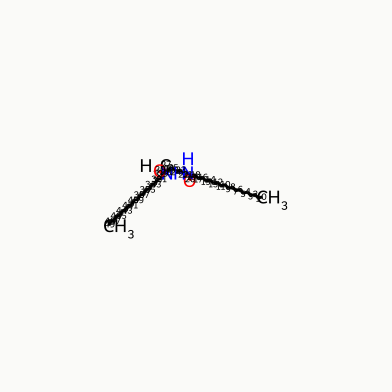 CCCCCCCCCCCCCCCCCCCC(=O)NCCCC[C@@H](C)NC(=O)CCCCCCCCCCCCCCCCCCC